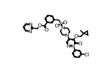 CC1(COc2c(N3CCN(S(=O)(=O)Cc4cccc(C(=O)OCc5ncccn5)c4)CC3)cnn(-c3cccc(Cl)c3)c2=O)CC1